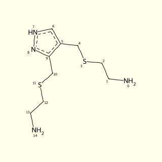 NCCSCc1c[nH]nc1CSCCN